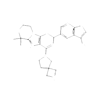 CC1(C)OCCn2c1nc1c2NC(c2cnc3[nH]cc(C#N)c3c2)N=C1N1CCC2(COC2)C1